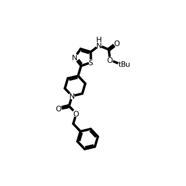 CC(C)(C)OC(=O)Nc1cnc(C2=CCN(C(=O)OCc3ccccc3)CC2)s1